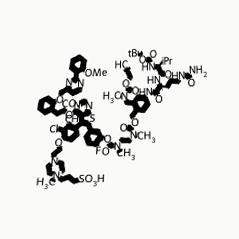 C#CCOC(=O)N(C)Cc1cc(NC(=O)[C@H](CCCNC(N)=O)NC(=O)[C@@H](NC(=O)OC(C)(C)C)C(C)C)ccc1COC(=O)N(C)CCN(C)C(=O)Oc1cc(-c2sc3ncnc(O[C@H](Cc4ccccc4OCc4ccnc(-c5ccccc5OC)n4)C(=O)O)c3c2-c2ccc(OCCN3CC[N+](C)(CCCS(=O)(=O)O)CC3)c(Cl)c2C)ccc1F